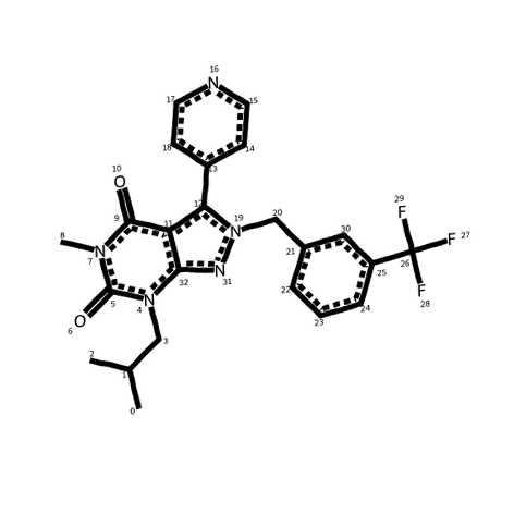 CC(C)Cn1c(=O)n(C)c(=O)c2c(-c3ccncc3)n(Cc3cccc(C(F)(F)F)c3)nc21